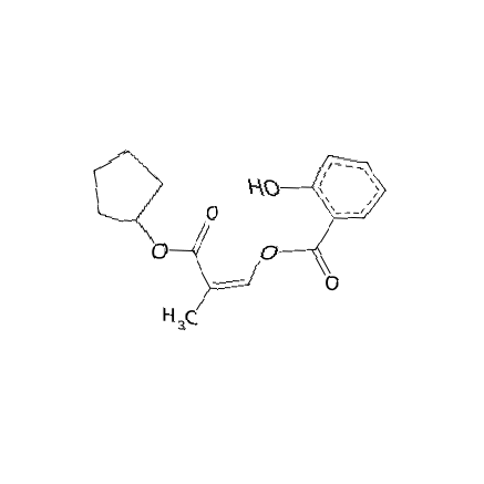 CC(=COC(=O)c1ccccc1O)C(=O)OC1CCCC1